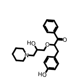 O=C(c1ccccc1)C(Cc1ccc(O)cc1)OCC(O)CN1CCCCC1